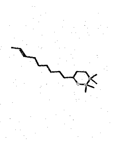 CC=CCCCCCCC1CC[Si](C)(C)[Si](C)(C)O1